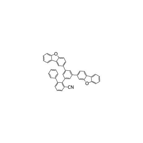 N#Cc1cccc(-c2ccccc2)c1-c1cc(-c2ccc3c(c2)oc2ccccc23)cc(-c2ccc3oc4ccccc4c3c2)c1